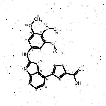 COc1cc(Nc2nc3cccc(-c4csc(C(=O)O)c4)c3o2)cc(OC)c1OC